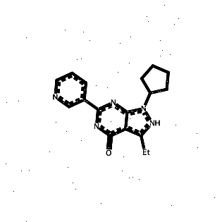 CCc1[nH]n(C2CCCC2)c2nc(-c3cccnc3)nc(=O)c1-2